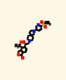 Cc1c(C(O)CN2CCC3(CC2)CCN(c2ccc(S(C)(=O)=O)nc2)C3)ccc2c1COC2=O